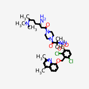 Cc1cc(C)c2cccc(OCc3c(Cl)ccc(S(=O)(=O)NC(C)(C)C(=O)N4CCN(C(=O)C[C@@H](N)CCC(C)N(C)C)CC4)c3Cl)c2n1